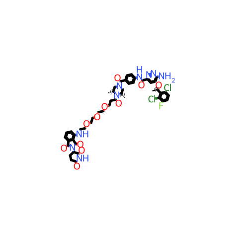 C[C@@H]1CN(C(=O)c2ccc(NC(=O)c3cc(O[C@H](C)c4c(Cl)ccc(F)c4Cl)c(N)nn3)cc2)C[C@H](C)N1C(=O)CCOCCOCCOCCNc1cccc2c1C(=O)N(C1CCC(=O)NC1=O)C2=O